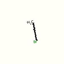 [CH2]CCCCCCCCCCCCCCCBr